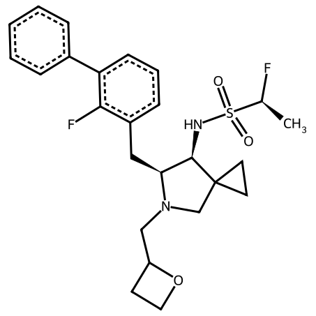 C[C@H](F)S(=O)(=O)N[C@@H]1[C@H](Cc2cccc(-c3ccccc3)c2F)N(CC2CCO2)CC12CC2